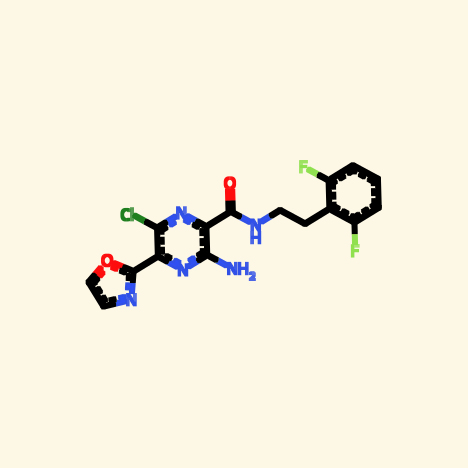 Nc1nc(-c2ncco2)c(Cl)nc1C(=O)NCCc1c(F)cccc1F